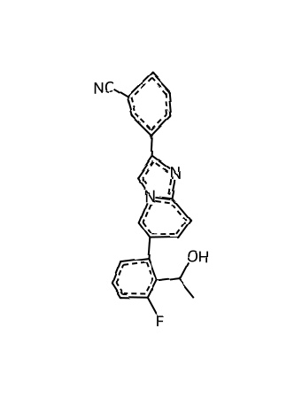 CC(O)c1c(F)cccc1-c1ccc2nc(-c3cccc(C#N)c3)cn2c1